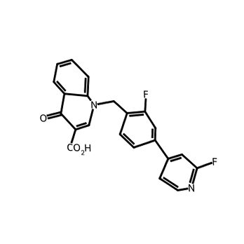 O=C(O)c1cn(Cc2ccc(-c3ccnc(F)c3)cc2F)c2ccccc2c1=O